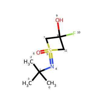 CC(C)(C)N=S1(=O)CC(O)(F)C1